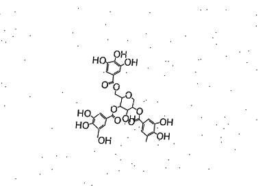 Cc1cc(C(=O)OC2COC(COC(=O)c3cc(O)c(O)c(O)c3)C(OC(=O)c3cc(O)c(O)c(CO)c3)C2O)cc(O)c1O